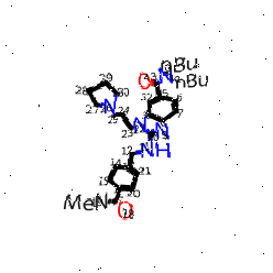 CCCCN(CCCC)C(=O)c1ccc2nc(NCc3ccc(C(=O)NC)cc3)n(CCCN3CCCC3)c2c1